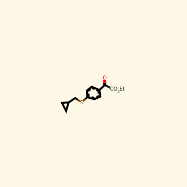 CCOC(=O)C(=O)c1ccc(SCC2CC2)cc1